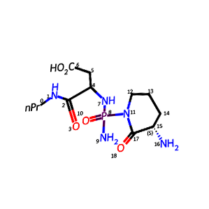 CCCNC(=O)C(CC(=O)O)NP(N)(=O)N1CCC[C@H](N)C1=O